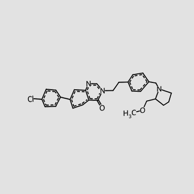 COCC1CCCN1Cc1ccc(CCn2cnc3cc(-c4ccc(Cl)cc4)ccc3c2=O)cc1